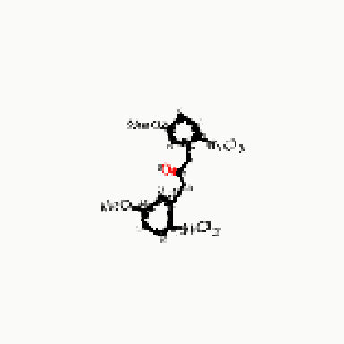 COc1ccc([N+](=O)[O-])c(CC(=O)Cc2cc(OC)ccc2[N+](=O)[O-])c1